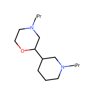 CC(C)N1CCCC(C2CN(C(C)C)CCO2)C1